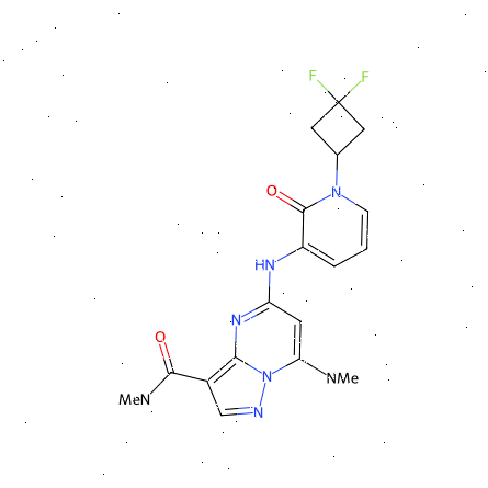 CNC(=O)c1cnn2c(NC)cc(Nc3cccn(C4CC(F)(F)C4)c3=O)nc12